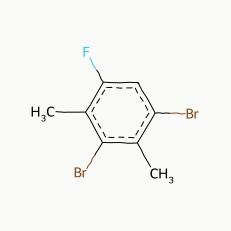 Cc1c(F)cc(Br)c(C)c1Br